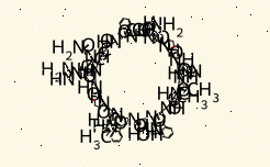 CCCCC[C@H]1C(=O)N2CCC[C@@H]2C(=O)N[C@@H](CCCNC(=N)N)C(=O)N[C@H](C(=O)NCC(N)=O)CSCC(=O)N[C@@H](Cc2ccccc2)C(=O)N(C)[C@@H](C)C(=O)N[C@@H](CC(N)=O)C(=O)N2CCC[C@H]2C(=O)N[C@@H](Cc2cnc[nH]2)C(=O)N[C@@H](CC(C)C)C(=O)N(C)CC(=O)N[C@@H](Cc2c[nH]c3ccccc23)C(=O)N[C@@H](CCO)C(=O)N[C@@H](Cc2c[nH]c3ccccc23)C(=O)N1C